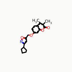 Cc1c(C)c2ccc(OCc3cc(C4CCCC4)no3)cc2oc1=O